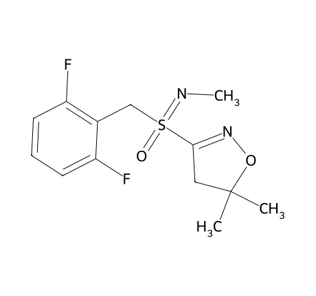 CN=S(=O)(Cc1c(F)cccc1F)C1=NOC(C)(C)C1